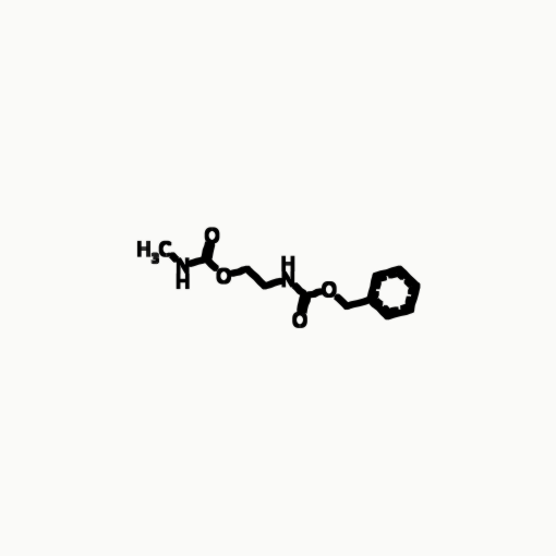 CNC(=O)OCCNC(=O)OCc1ccccc1